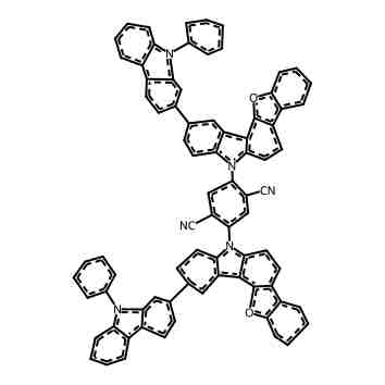 N#Cc1cc(-n2c3ccc(-c4ccc5c6ccccc6n(-c6ccccc6)c5c4)cc3c3c4oc5ccccc5c4ccc32)c(C#N)cc1-n1c2ccc(-c3ccc4c5ccccc5n(-c5ccccc5)c4c3)cc2c2c3oc4ccccc4c3ccc21